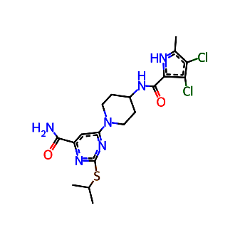 Cc1[nH]c(C(=O)NC2CCN(c3cc(C(N)=O)nc(SC(C)C)n3)CC2)c(Cl)c1Cl